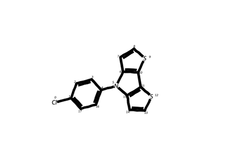 Clc1ccc(-n2c3ccsc3c3sccc32)cc1